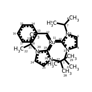 CC(C)n1ccn(C(C)C)[c]1=[Ru](=[CH]c1ccccc1)=[c]1n(C(C)C)ccn1C(C)C